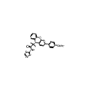 CSc1ccc(-c2ccc3c(n2)Oc2ccccc2[C@@H]3C(C)(C)C(=O)Nc2nncs2)cc1